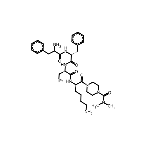 CC(C)C[C@@H](NC(=O)[C@@H](Cc1ccccc1)NC(=O)[C@H](N)Cc1ccccc1)C(=O)N[C@H](CCCCN)C(=O)N1CCN(C(=O)N(C)C)CC1